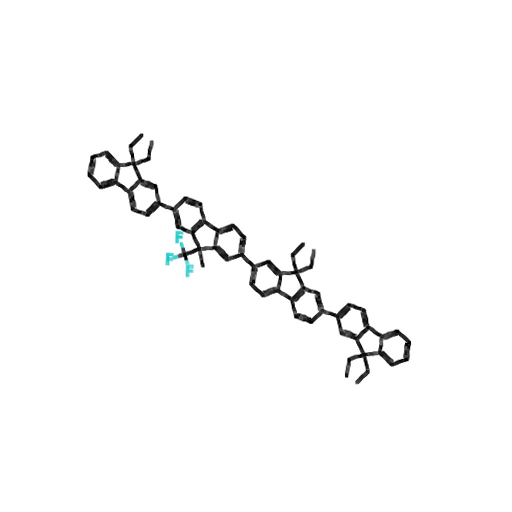 CCC1(CC)c2ccccc2-c2ccc(-c3ccc4c(c3)C(CC)(CC)c3cc(-c5ccc6c(c5)C(C)(C(F)(F)F)c5cc(-c7ccc8c(c7)C(CC)(CC)c7ccccc7-8)ccc5-6)ccc3-4)cc21